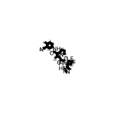 Cc1ccc(NC(=O)c2c(C)c(C(=O)C(=O)NC3(c4cnn[nH]4)CC(F)(F)C3)n3c2CCC3)cc1C#N